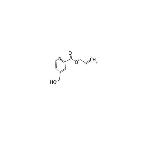 C=CCOC(=O)c1cc(CO)ccn1